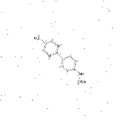 CONc1ccc(-c2ncc(C)cn2)cc1